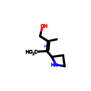 C/C(CO)=C(/C(=O)O)C1CCN1